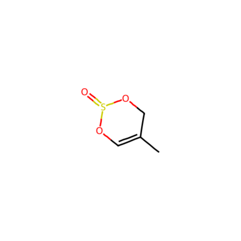 CC1=COS(=O)OC1